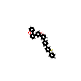 c1ccc2c(c1)oc1cccc(-c3ccc4oc5ccc(-c6ccc(-c7ccc8c(c7)sc7ccccc78)cc6)cc5c4c3)c12